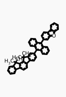 CC1(C)c2ccccc2-c2ccc3c(c21)C(C)(C)c1cc(-c2c4ccccc4c(-c4ccc5c(c4)oc4ccccc45)c4ccccc24)ccc1-3